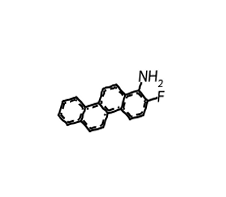 Nc1c(F)ccc2c1ccc1c3ccccc3ccc21